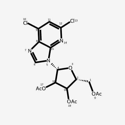 CC(=O)OC[C@H]1O[C@@H](n2cnc3c(Cl)cc(Cl)nc32)C(OC(C)=O)C1OC(C)=O